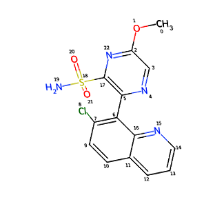 COc1cnc(-c2c(Cl)ccc3cccnc23)c(S(N)(=O)=O)n1